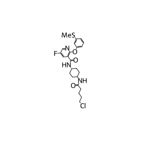 CSc1cccc(Oc2ncc(F)cc2C(=O)N[C@H]2CC[C@H](NC(=O)CCCCCl)CC2)c1